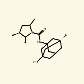 CC1C[C@H](C)[C@H](I)N1C(=O)NC12CC3C[C@@H](CC(O)(C3)C1)C2